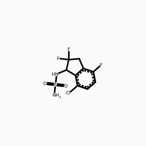 NS(=O)(=O)NC1c2c(Cl)ccc(F)c2CC1(F)F